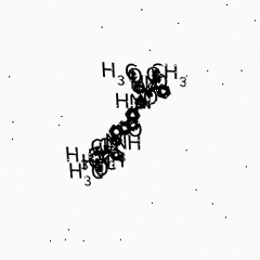 COC[C@H]1C[C@@H](c2ncc(-c3ccc4c(c3)COc3cc5c(cc3-4)CCc3nc([C@@H]4CC[C@H](C)C4C(=O)[C@@H](NC(=O)OC)C(C)C)[nH]c3-5)[nH]2)N(C(=O)C(NC(=O)OC)c2ccccc2)C1